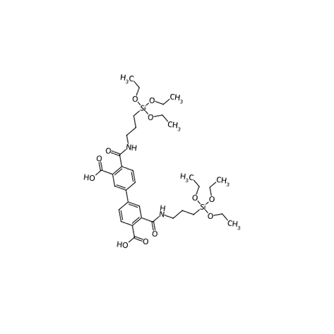 CCO[Si](CCCNC(=O)c1ccc(-c2ccc(C(=O)O)c(C(=O)NCCC[Si](OCC)(OCC)OCC)c2)cc1C(=O)O)(OCC)OCC